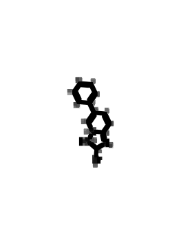 BrC1N=C2C=CC(c3ccccc3)=CN2N1